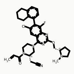 C=CC(=O)N1CCN(c2nc(OC[C@@H]3CCCN3C)nc3c(F)c(-c4cccc5c4CCCC5)c(Cl)cc23)C[C@@H]1CC#N